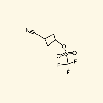 N#CC1CC(OS(=O)(=O)C(F)(F)F)C1